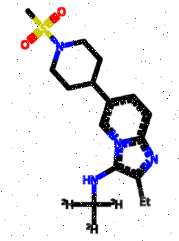 [2H]C([2H])([2H])Nc1c(CC)nc2ccc(C3CCN(S(C)(=O)=O)CC3)cn12